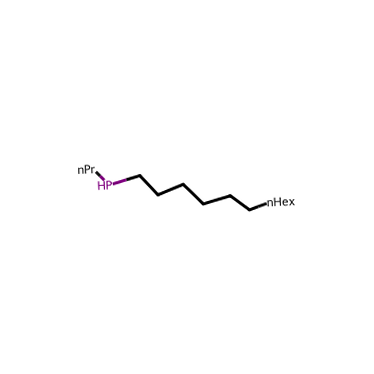 CCCCCCCCCCCCPCCC